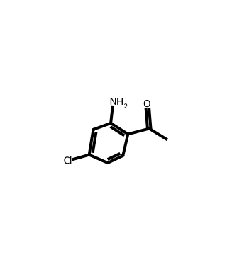 CC(=O)c1ccc(Cl)cc1N